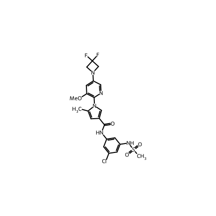 COc1cc(N2CC(F)(F)C2)cnc1-n1cc(C(=O)Nc2cc(Cl)cc(NS(C)(=O)=O)c2)cc1C